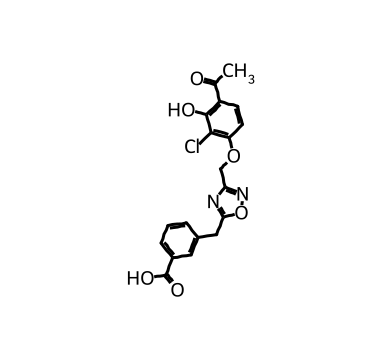 CC(=O)c1ccc(OCc2noc(Cc3cccc(C(=O)O)c3)n2)c(Cl)c1O